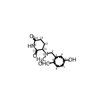 CN(Cc1cc(O)ccc1C=O)C1CCC(=O)NC1=O